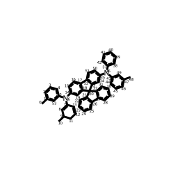 Cc1cccc(N(C2=CC(C)CC=C2)c2ccc3c(c2)C2(c4ccccc4-c4ccccc42)c2cc(N(c4ccccc4)c4cccc(C)c4)ccc2-3)c1